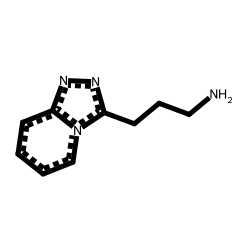 NCCCc1nnc2ccccn12